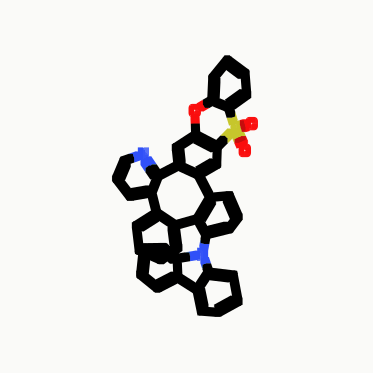 O=S1(=O)c2ccccc2Oc2cc3c(cc21)-c1cccc(-n2c4ccccc4c4ccccc42)c1-c1ccccc1-c1cccnc1-3